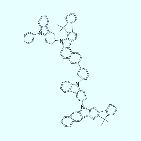 CC1(C)c2ccccc2-c2cc3c(cc21)c1cc2ccccc2cc1n3-c1ccc2c(c1)c1ccccc1n2-c1cccc(-c2ccc3c(ccc4c3c3ccc5c(c3n4-c3ccc4c(c3)c3ccccc3n4-c3ccccc3)C(C)(C)c3ccccc3-5)c2)c1